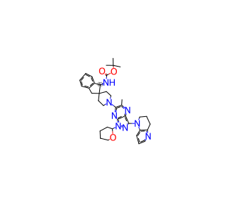 Cc1nc2c(N3CCCc4ncccc43)nn(C3CCCCO3)c2nc1N1CCC2(CC1)Cc1ccccc1[C@H]2NC(=O)OC(C)(C)C